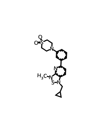 CN1SN(CC2CC2)c2ccc(-c3cccc(N4CCS(=O)(=O)CC4)c3)nc21